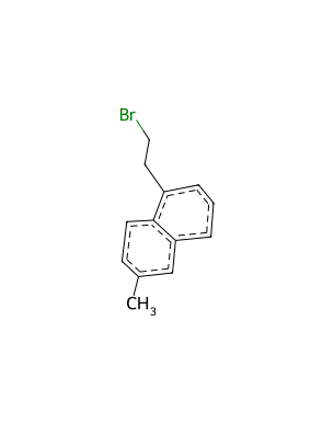 Cc1ccc2c(CCBr)cccc2c1